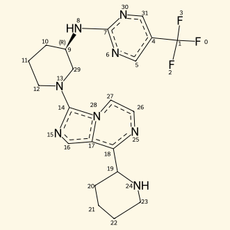 FC(F)(F)c1cnc(N[C@@H]2CCCN(c3ncc4c(C5CCCCN5)nccn34)C2)nc1